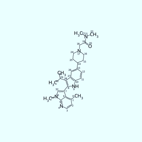 Cc1ccnc2c1c(-c1[nH]c3ccc(C4CCN(CC(=O)N(C)C)CC4)cc3c1C(C)C)cn2C